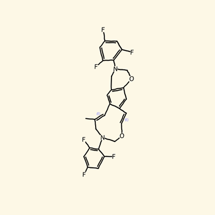 C/C1=C\c2cc3c(cc2/C=C/OCN(c2c(F)cc(F)cc2F)C1)OCN(c1c(F)cc(F)cc1F)C3